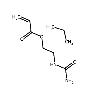 C=CC(=O)OCCNC(N)=O.CCC